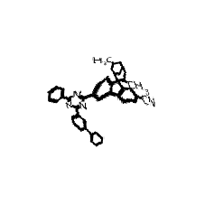 CC1CC2CC(C)C3(c4ccc(-c5nc(-c6ccccc6)nc(-c6cccc(-c7ccccc7)c6)n5)cc4-c4ccc(C#N)cc43)C(C1)C2